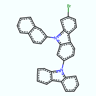 Brc1ccc2c3ccc(-n4c5ccccc5c5ccccc54)cc3n(-c3ccc4ccccc4c3)c2c1